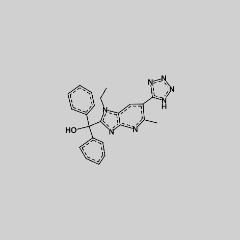 CCn1c(C(O)(c2ccccc2)c2ccccc2)nc2nc(C)c(-c3nnn[nH]3)cc21